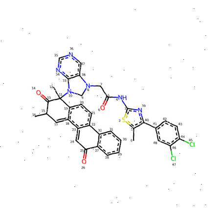 Cc1sc(NC(=O)CN2CN(C3(C)C(=O)C(C)C=c4c3ccc3c4=CC(=O)c4ccccc4-3)c3ncncc32)nc1-c1ccc(Cl)c(Cl)c1